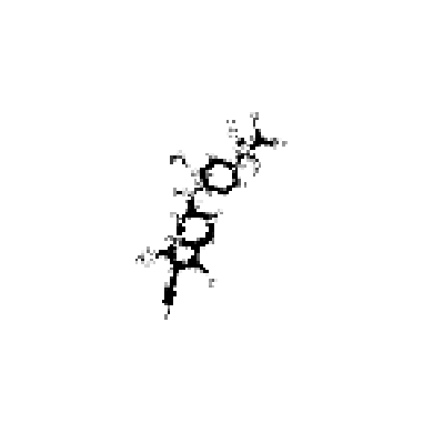 Cc1c(C#N)c(Cl)c2cnc(N[C@@H]3CCN(S(=O)(=O)C(F)F)C[C@H]3O)nn12